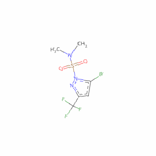 CN(C)S(=O)(=O)n1nc(C(F)(F)F)cc1Br